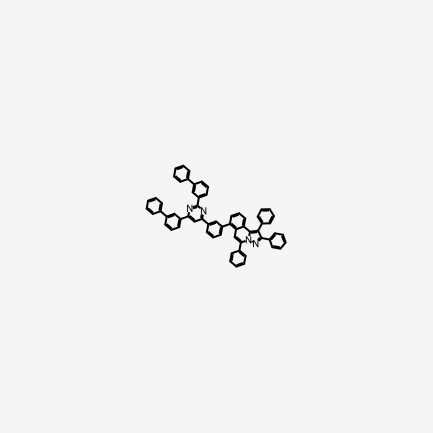 c1ccc(-c2cccc(-c3cc(-c4cccc(-c5cccc6c5cc(-c5ccccc5)n5nc(-c7ccccc7)c(-c7ccccc7)c65)c4)nc(-c4cccc(-c5ccccc5)c4)n3)c2)cc1